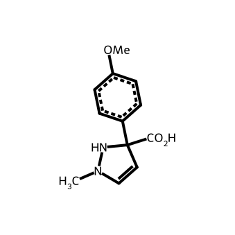 COc1ccc(C2(C(=O)O)C=CN(C)N2)cc1